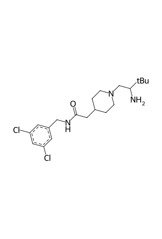 CC(C)(C)C(N)CN1CCC(CC(=O)NCc2cc(Cl)cc(Cl)c2)CC1